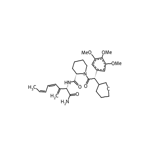 C=C(/C=C\C=C/C)[C@H](NC(=O)[C@@H]1CCCCN1C(=O)[C@H](c1cc(OC)c(OC)c(OC)c1)C1CCCCC1)C(N)=O